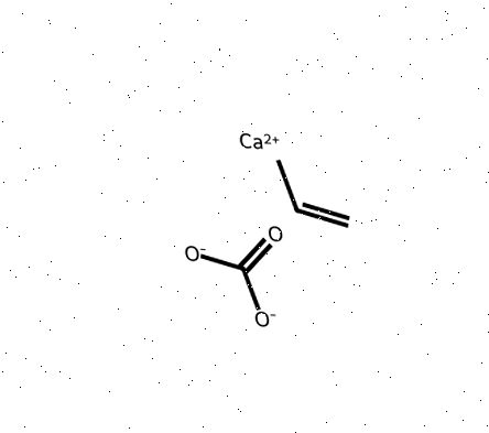 C=CC.O=C([O-])[O-].[Ca+2]